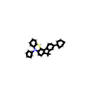 CC1(C)c2cc(-c3ccccc3)ccc2-c2c1ccc1c2Sc2ccccc2N1c1ccccc1